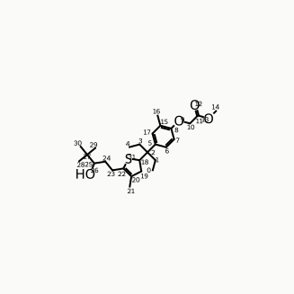 CCC(CC)(c1ccc(OCC(=O)OC)c(C)c1)C1CC(C)=C(CCC(O)C(C)(C)C)S1